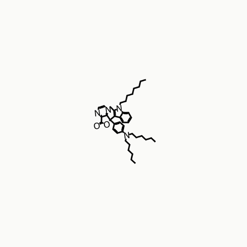 CCCCCCCCn1c(C)c(C2(c3ccc(N(CCCCCC)CCCCCC)cc3)OC(=O)c3nccnc32)c2ccccc21